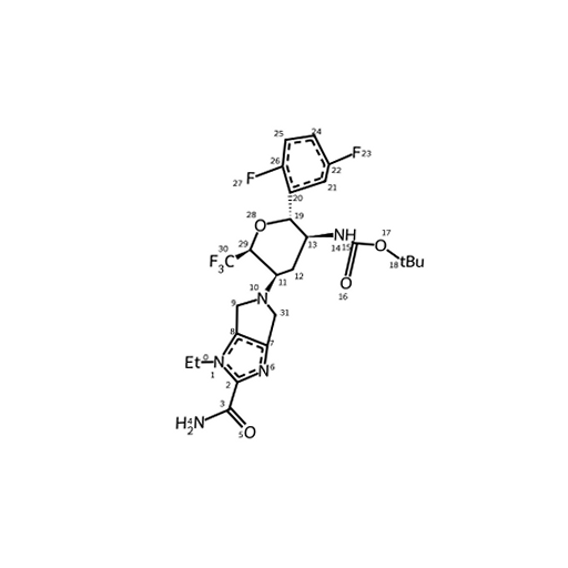 CCn1c(C(N)=O)nc2c1CN([C@@H]1C[C@H](NC(=O)OC(C)(C)C)[C@@H](c3cc(F)ccc3F)O[C@@H]1C(F)(F)F)C2